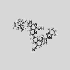 COC12CC3(C)CC(C)(CC(Cn4ncc(-c5ccc(-c6ccc7c(C#N)ccc(C(=O)Nc8nc9ccccc9s8)c7c6)nc5C(=O)O)c4C)(C3)C1)C2